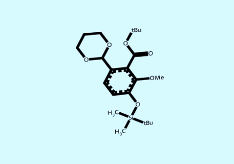 COc1c(O[Si](C)(C)C(C)(C)C)ccc(C2OCCCO2)c1C(=O)OC(C)(C)C